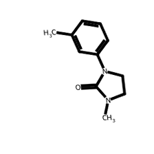 Cc1cccc(N2CCN(C)C2=O)c1